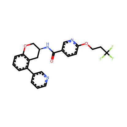 O=C(N[C@@H]1COc2cccc(-c3cccnc3)c2C1)c1ccc(OCCC(F)(F)F)nc1